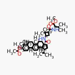 C=C(C)[C@@H]1CC[C@]2(C(=O)N[C@@H]3C[C@H](C(=O)N[C@H](C(=O)OC)C(C)C)C3(C)C)CC[C@]3(C)[C@H](CC[C@@H]4[C@@]5(C)CC[C@H](OC(C)=O)C(C)(C)[C@@H]5CC[C@]43C)[C@@H]12